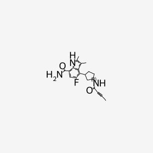 CC#CC(=O)N[C@@H]1CCC(c2c(F)cc(C(N)=O)c3[nH]c(C)c(C)c23)C1